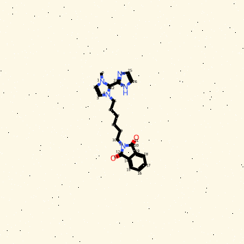 CN1C=CN(CCCCCCN2C(=O)c3ccccc3C2=O)C1c1ncc[nH]1